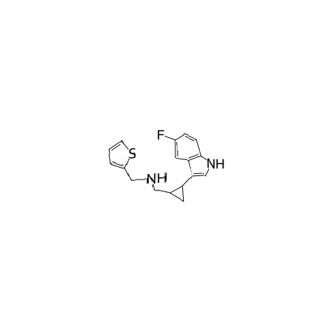 Fc1ccc2[nH]cc(C3CC3CNCc3cccs3)c2c1